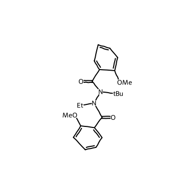 CCN(C(=O)c1ccccc1OC)N(C(=O)c1ccccc1OC)C(C)(C)C